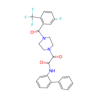 O=C(Nc1ccccc1-c1ccccc1)C(=O)N1CCN(C(=O)c2cc(F)ccc2C(F)(F)F)CC1